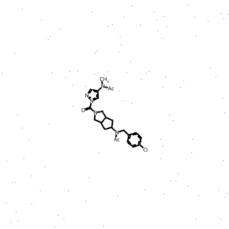 CC(=O)N(C)c1cnn(C(=O)N2CC3CC(N(Cc4ccc(Cl)cc4)C(C)=O)CC3C2)c1